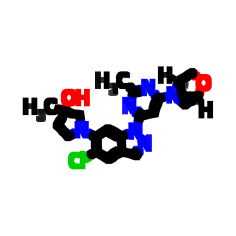 Cc1nc(N2C[C@H]3C[C@@H]2CO3)cc(-n2ncc3cc(Cl)c(N4CCC(C)(O)C4)cc32)n1